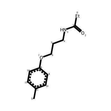 CCC(=O)NCCCOc1ccc(C)cc1